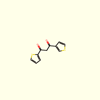 O=C(CC(=O)c1cccs1)c1ccsc1